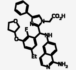 CCc1cc(OC2CCOC2)c(F)c(C(Nc2ccc3c(N)nccc3c2)c2nc(-c3ccccc3)cn2CC(=O)O)c1